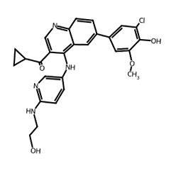 COc1cc(-c2ccc3ncc(C(=O)C4CC4)c(Nc4ccc(NCCO)nc4)c3c2)cc(Cl)c1O